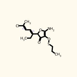 CCCSOC1=C(N)OC(/C(=C/C=C(\C)Cl)CC)C1=O